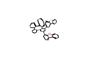 c1ccc2c(c1)-c1ccccc1-c1cc(-c3cccc4c3oc3ccccc34)cc(-c3ccc4sc5ccccc5c4c3)c1-c1ccccc1-2